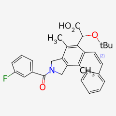 Cc1c(/C=C\c2ccccc2)c(C(OC(C)(C)C)C(=O)O)c(C)c2c1CN(C(=O)c1cccc(F)c1)C2